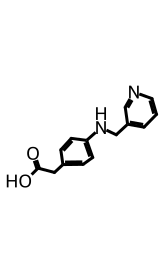 O=C(O)Cc1ccc(NCc2cccnc2)cc1